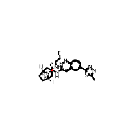 Cc1nnc(-c2ccc3nnc(NC(=O)N4[C@@H]5CC[C@H]4C[C@H](NCCF)C5)cc3c2)s1